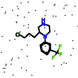 FC(F)(F)c1cccc(N2CCNCC2CCCCl)c1